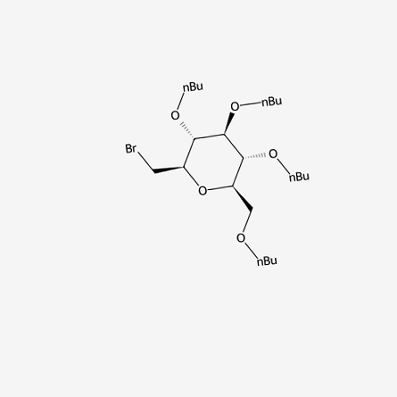 CCCCOC[C@H]1O[C@@H](CBr)[C@H](OCCCC)[C@@H](OCCCC)[C@@H]1OCCCC